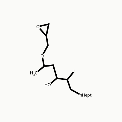 CCCCCCCCC(I)C(O)CC(C)OCC1CO1